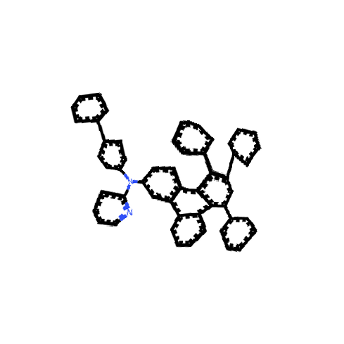 c1ccc(-c2ccc(N(c3ccc4c(c3)c3ccccc3c3c(-c5ccccc5)cc(-c5ccccc5)c(-c5ccccc5)c43)c3ccccn3)cc2)cc1